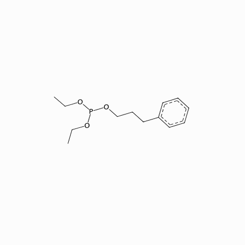 CCOP(OCC)OCCCc1ccccc1